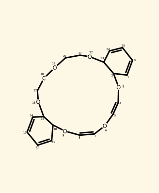 C1=CC2O/C=C\O/C=C\OC3C=CC=CC3OCCOCCOC2C=C1